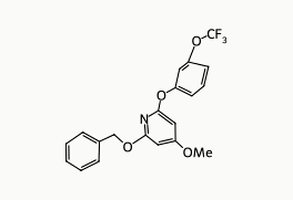 COc1cc(OCc2ccccc2)nc(Oc2cccc(OC(F)(F)F)c2)c1